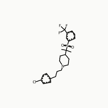 CC(C)(C1CCN(CCCc2ccc(Cl)cc2)CC1)S(=O)(=O)c1cccc(C(F)(F)F)c1